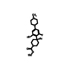 CCCc1cc(N2CCN(C)CC2)cc(F)c1C1(C(C)=O)CCN(C(=O)OC(C)(C)C)CC1